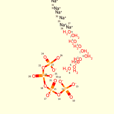 O.O.O.O.O.O.O.O.O.O.O=P([O-])([O-])OP(=O)([O-])OP(=O)([O-])OP(=O)([O-])[O-].[Na+].[Na+].[Na+].[Na+].[Na+].[Na+]